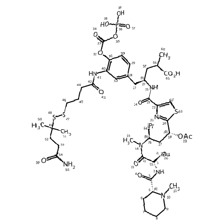 CC[C@H](C)[C@H](NC(=O)[C@H]1CCCCN1C)C(=O)N(C)[C@H](C[C@@H](OC(C)=O)c1nc(C(=O)N[C@@H](Cc2ccc(OC(=O)OP(=O)(O)O)c(NC(=O)CCCSSC(C)(C)CCC(N)=O)c2)CC(C)C(=O)O)cs1)C(C)C